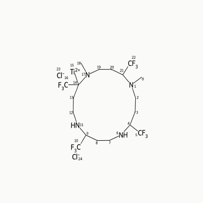 CN1CCC(C(F)(F)F)NCCC(C(F)(F)F)NCC[C]([Ti+2])(C(F)(F)F)N(C)CCC1C(F)(F)F.[Cl-].[Cl-]